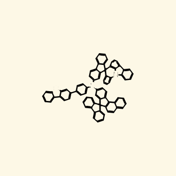 c1ccc2c(c1)-c1ccccc1C21c2cc(N(c3ccc(-c4ccc5c(c4)oc4ccccc45)cc3)c3ccc4c(c3)C3(c5ccccc5-4)c4ccccc4-n4c5ccccc5c5cccc3c54)ccc2-c2c1ccc1ccccc21